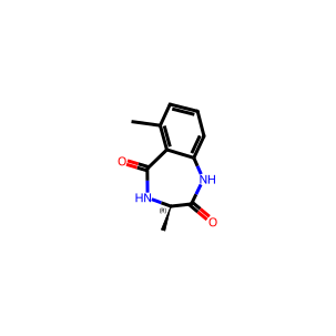 Cc1cccc2c1C(=O)N[C@H](C)C(=O)N2